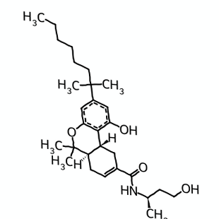 CCCCCCC(C)(C)c1cc(O)c2c(c1)OC(C)(C)[C@@H]1CC=C(C(=O)N[C@H](C)CCO)C[C@@H]21